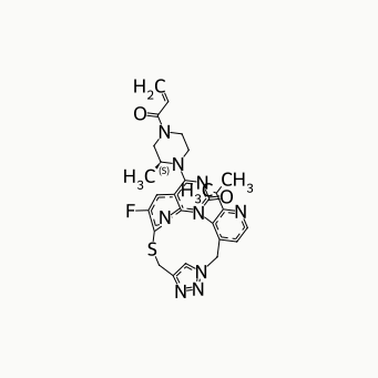 C=CC(=O)N1CCN(c2nc(=O)n3c4nc(c(F)cc24)SCc2cn(nn2)Cc2ccnc(C(C)C)c2-3)[C@@H](C)C1